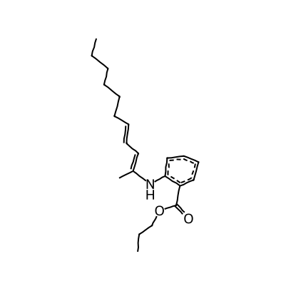 CCCCCCC=CC=C(C)Nc1ccccc1C(=O)OCCC